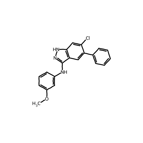 COc1cccc(Nc2n[nH]c3cc(Cl)c(-c4ccccc4)cc23)c1